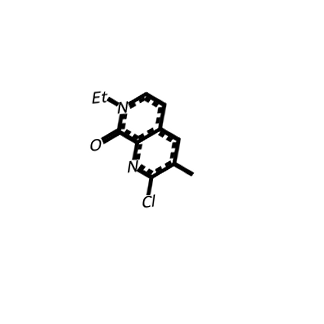 CCn1ccc2cc(C)c(Cl)nc2c1=O